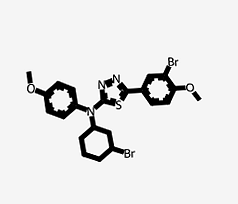 COc1ccc(N(c2nnc(-c3ccc(OC)c(Br)c3)s2)C2CCCC(Br)C2)cc1